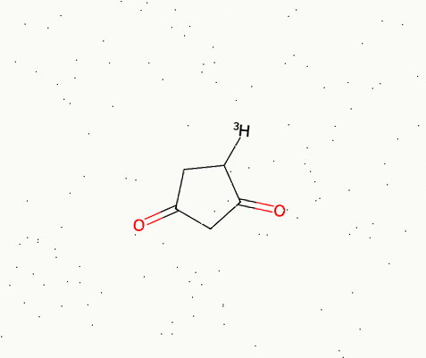 [3H]C1CC(=O)CC1=O